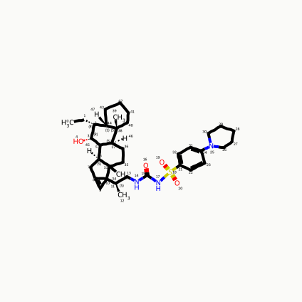 CC[C@H]1[C@@H](O)C2[C@@H]3CC4=CC4([C@H](C)CNC(=O)NS(=O)(=O)c4ccc(N5CCCCC5)cc4)C3(C)CC[C@@H]2[C@@]2(C)CCCC[C@@H]12